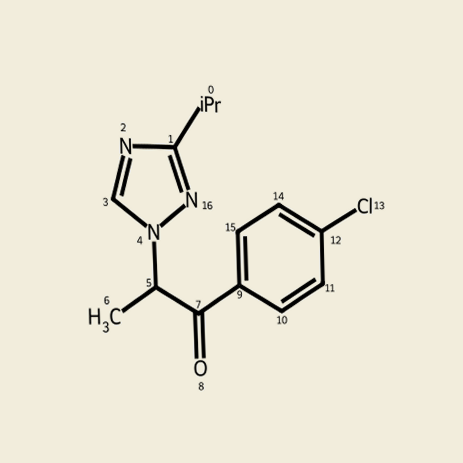 CC(C)c1ncn(C(C)C(=O)c2ccc(Cl)cc2)n1